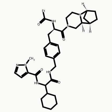 CCC(=O)N[C@H](Cc1ccc(CNC(=O)C(NC(=O)c2ccnn2C)C2CCCCC2)cc1)C(=O)N1CCN2[C@H]3CC[C@H](C3)[C@H]2C1